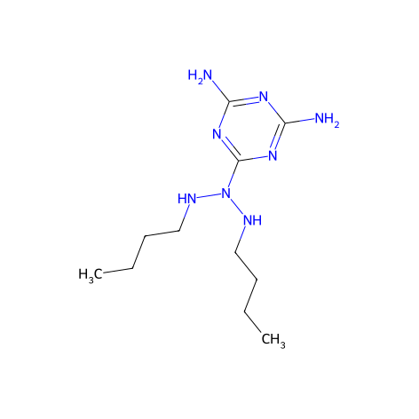 CCCCNN(NCCCC)c1nc(N)nc(N)n1